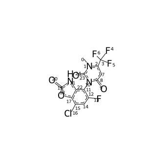 Cn1c(C(F)(F)F)cc(=O)n(-c2c(F)cc(Cl)c3oc(=O)[nH]c23)c1=O